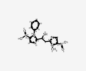 Cn1c([N+](=O)[O-])cnc1CC(S)c1ncc([N+](=O)[O-])n1-c1ccccc1